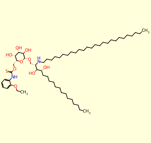 CCCCCCCCCCCCCCCCCCCCCCCCCCN[C@@H](CO[C@@H]1O[C@H](COC(=S)Nc2ccccc2OCC)[C@H](O)[C@H](O)[C@H]1O)[C@H](O)[C@H](O)CCCCCCCCCCCCCC